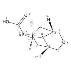 O=C(O)N[C@H]1C[C@H]2COC[C@@H](C1)N2C(F)(F)F